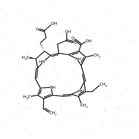 C=Cc1c2[nH]c(c1C)/C=C1\N/C(=C(/CC(=O)O)c3[nH]c(c(C)c3C(=O)O)/C=c3\[nH]/c(c(C)c3CC)=C\2)[C@@H](CCC(=O)O)[C@@H]1C